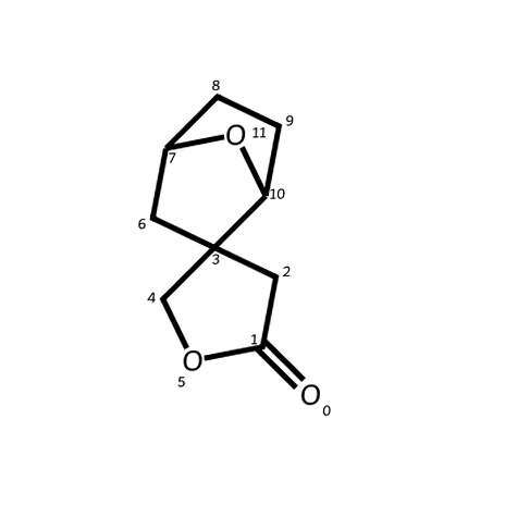 O=C1CC2(CO1)CC1CCC2O1